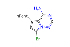 CCCCCc1cc(Br)n2ncnc(N)c12